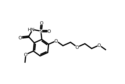 COCCOCCOc1ccc(OC)c2c1S(=O)(=O)NC2=O